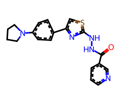 O=C(NNc1nc(-c2ccc(N3CCCC3)cc2)cs1)c1cccnc1